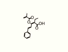 C=C(C)C(=O)OC(C=Cc1ccccc1)=C(CC)C(=O)O